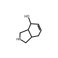 OC1C=CCC2CNCC12